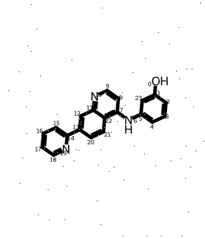 Oc1cccc(Nc2ccnc3cc(-c4ccccn4)ccc23)c1